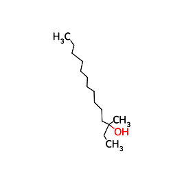 CCCCCCCCCCCC(C)(O)CC